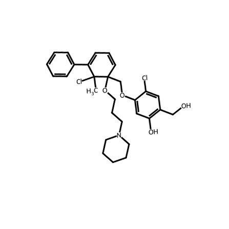 CC1(Cl)C(c2ccccc2)=CC=CC1(COc1cc(O)c(CO)cc1Cl)OCCCN1CCCCC1